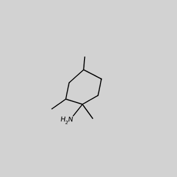 CC1CCC(C)(N)C(C)C1